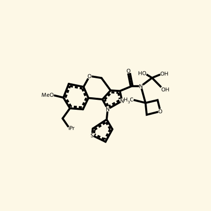 COc1cc2c(cc1CC(C)C)-c1c(c(C(=O)N(C(O)(O)O)C3(C)COC3)nn1-c1ccsc1)CO2